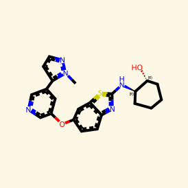 Cn1nccc1-c1cncc(Oc2ccc3nc(N[C@@H]4CCCC[C@H]4O)sc3c2)c1